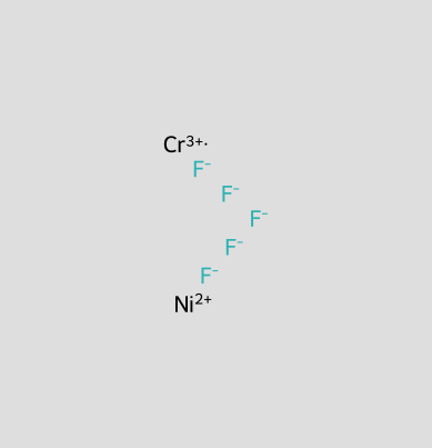 [Cr+3].[F-].[F-].[F-].[F-].[F-].[Ni+2]